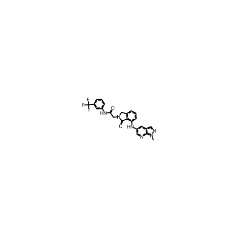 Cn1ncc2cc(Nc3cccc4c3C(=O)N(CC(=O)Nc3cccc(C(F)(F)F)c3)C4)cnc21